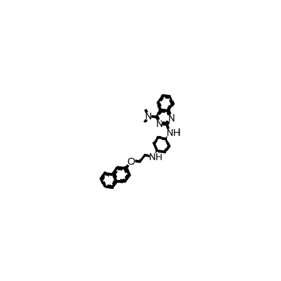 CN(C)c1nc(N[C@H]2CC[C@@H](NCCOc3ccc4ccccc4c3)CC2)nc2ccccc12